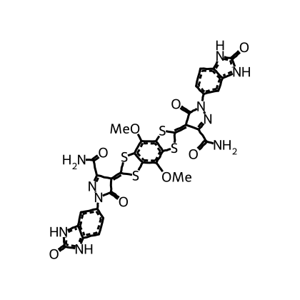 COc1c2c(c(OC)c3c1SC(=C1C(=O)N(c4ccc5[nH]c(=O)[nH]c5c4)N=C1C(N)=O)S3)SC(=C1C(=O)N(c3ccc4[nH]c(=O)[nH]c4c3)N=C1C(N)=O)S2